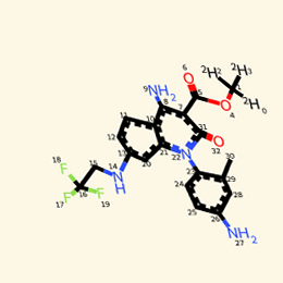 [2H]C([2H])([2H])OC(=O)c1c(N)c2ccc(NCC(F)(F)F)cc2n(-c2ccc(N)cc2C)c1=O